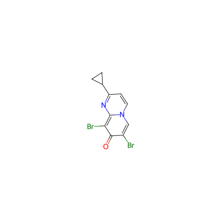 O=c1c(Br)cn2ccc(C3CC3)nc2c1Br